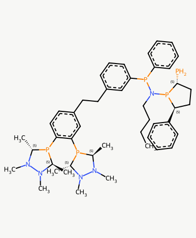 CCCCN(P(c1ccccc1)c1cccc(CCc2ccc(P3[C@@H](C)N(C)N(C)[C@@H]3C)c(P3[C@@H](C)N(C)N(C)[C@@H]3C)c2)c1)P1[C@H](P)CC[C@H]1c1ccccc1